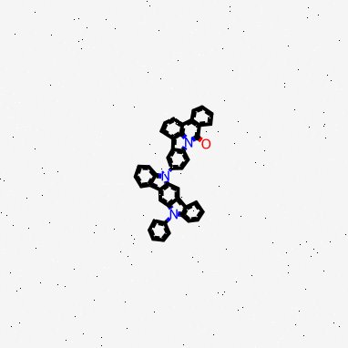 O=c1c2ccccc2c2cccc3c4cc(-n5c6ccccc6c6cc7c(cc65)c5ccccc5n7-c5ccccc5)ccc4n1c23